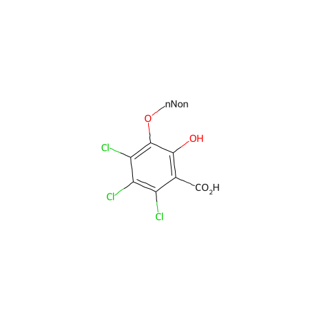 CCCCCCCCCOc1c(O)c(C(=O)O)c(Cl)c(Cl)c1Cl